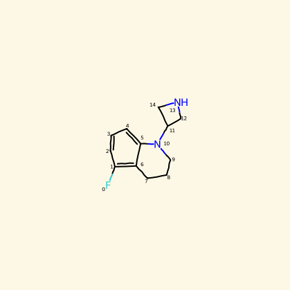 Fc1cccc2c1CCCN2C1CNC1